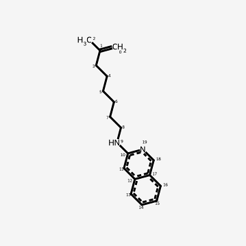 C=C(C)CCCCCCNc1cc2ccccc2cn1